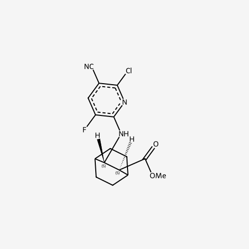 COC(=O)[C@H]1C2CCC(CC2)[C@@H]1Nc1nc(Cl)c(C#N)cc1F